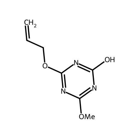 C=CCOc1nc(O)nc(OC)n1